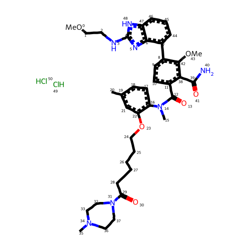 COCCNc1nc2c(-c3ccc(C(=O)N(C)c4ccc(C)cc4OCCCCCC(=O)N4CCN(C)CC4)c(C(N)=O)c3OC)cccc2[nH]1.Cl.Cl